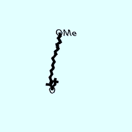 COCCCCCCCCCCCCCCC1=C(C)C(=O)CC1(C)C